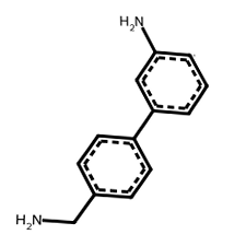 NCc1ccc(-c2cc[c]c(N)c2)cc1